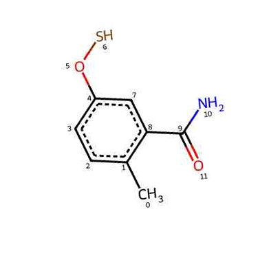 Cc1ccc(OS)cc1C(N)=O